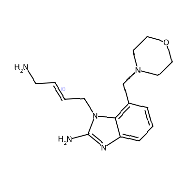 NC/C=C/Cn1c(N)nc2cccc(CN3CCOCC3)c21